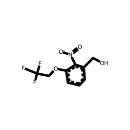 O=[N+]([O-])c1c(CO)cccc1OCC(F)(F)F